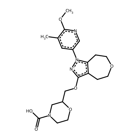 COc1ncc(-n2nc(OCC3CN(C(=O)O)CCO3)c3c2CCOCC3)cc1C